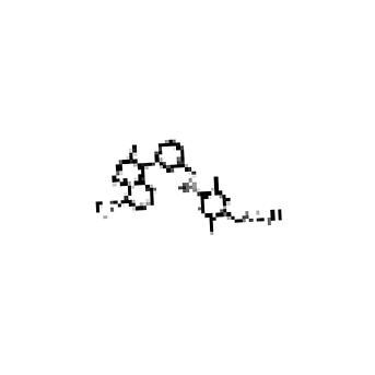 Cc1cc(NCc2cccc(-c3c(C)cnc4c(C(F)(F)F)cccc34)c2)c(C)cc1CC(=O)O